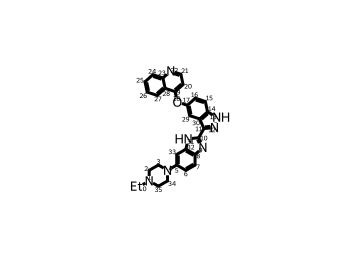 CCN1CCN(c2ccc3nc(-c4n[nH]c5ccc(Oc6ccnc7ccccc67)cc45)[nH]c3c2)CC1